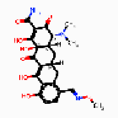 CON=Cc1ccc(O)c2c1C[C@H]1C[C@H]3[C@H](N(C)C)C(=O)C(C(N)=O)=C(O)[C@@]3(O)C(=O)C1=C2O